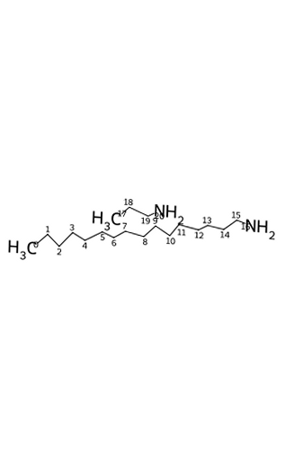 CCCCCCCCCCCCCCCCN.CCCN